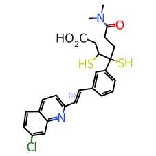 CN(C)C(=O)CCC(S)(c1cccc(/C=C/c2ccc3ccc(Cl)cc3n2)c1)C(S)CC(=O)O